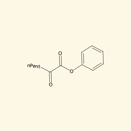 CCCCCC(=O)C(=O)Oc1ccccc1